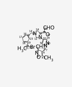 Cc1noc(C)c1Cn1cc(N2CN(Cc3cccc(C(C)Br)c3)CC2C(=O)C=O)cn1